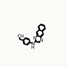 CCc1ccc(Nc2cnc3cc4ccccc4cc3n2)cc1